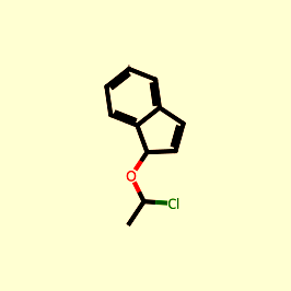 CC(Cl)OC1C=Cc2c[c]ccc21